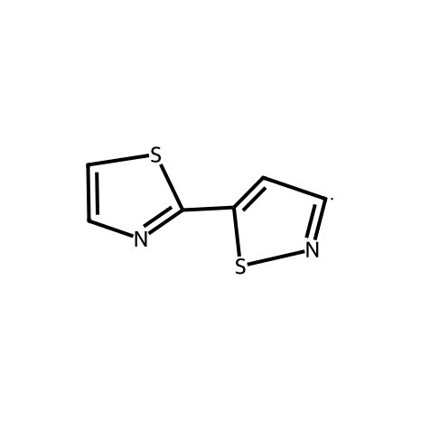 [c]1cc(-c2nccs2)sn1